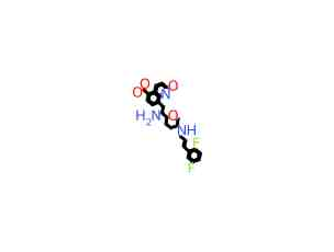 COC(=O)c1ccc(C[C@@H](N)C2CCC(NCC=Cc3cc(F)ccc3F)CO2)c2nc(OC)ccc12